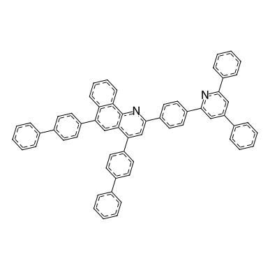 c1ccc(-c2ccc(-c3cc4c(-c5ccc(-c6ccccc6)cc5)cc(-c5ccc(-c6cc(-c7ccccc7)cc(-c7ccccc7)n6)cc5)nc4c4ccccc34)cc2)cc1